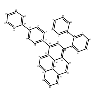 c1ccc(-c2ccccc2-c2cc(-c3ccc(-c4ccccn4)cc3)c3ccc4cccc5ccc2c3c45)cc1